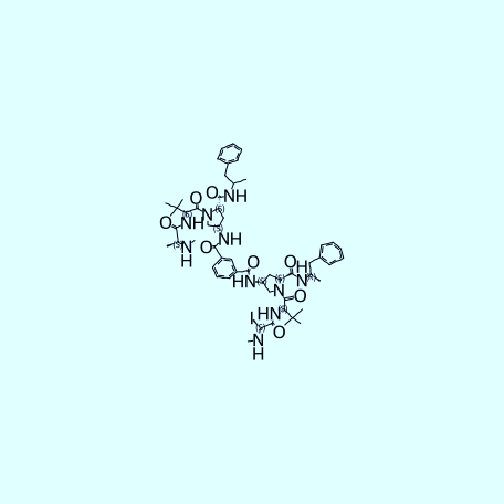 CN[C@@H](C)C(=O)N[C@H](C(=O)N1C[C@@H](NC(=O)c2cccc(C(=O)N[C@H]3C[C@@H](C(=O)N[C@H](C)Cc4ccccc4)N(C(=O)[C@@H](NC(=O)[C@H](I)NC)C(C)(C)C)C3)c2)C[C@H]1C(=O)NC(C)Cc1ccccc1)C(C)(C)C